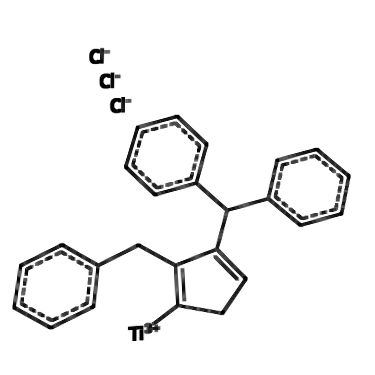 [Cl-].[Cl-].[Cl-].[Ti+3][C]1=C(Cc2ccccc2)C(C(c2ccccc2)c2ccccc2)=CC1